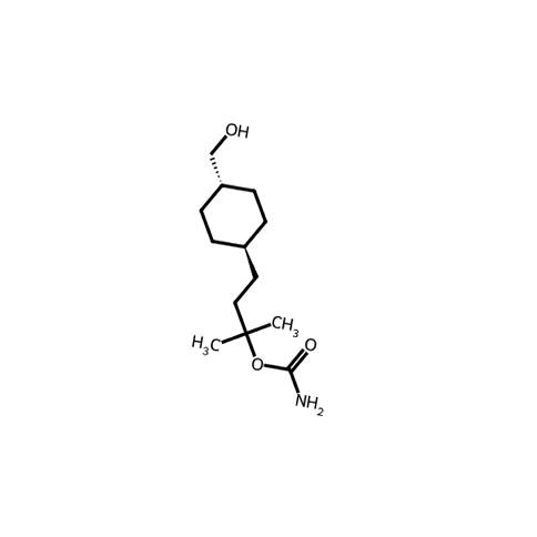 CC(C)(CC[C@H]1CC[C@H](CO)CC1)OC(N)=O